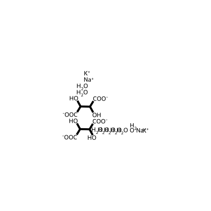 O.O.O.O.O.O.O.O.O=C([O-])C(O)C(O)C(=O)[O-].O=C([O-])C(O)C(O)C(=O)[O-].[K+].[K+].[Na+].[Na+]